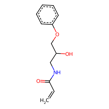 C=CC(=O)NCC(O)COc1ccccc1